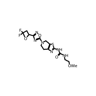 COCCNC(=O)Nc1nc2c(s1)CN(c1nc(C3CC(F)(F)O3)no1)CC2